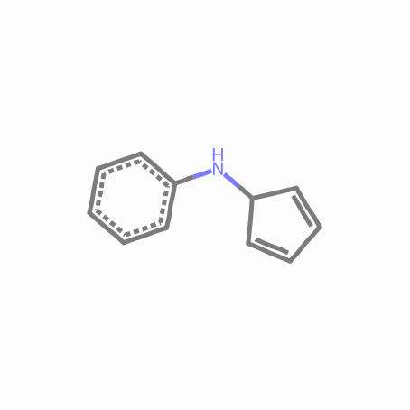 C1=CC(Nc2ccccc2)C=C1